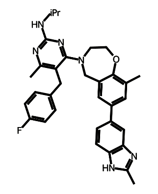 Cc1nc2cc(-c3cc(C)c4c(c3)CN(c3nc(NC(C)C)nc(C)c3Cc3ccc(F)cc3)CCO4)ccc2[nH]1